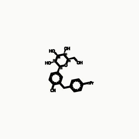 CCCc1ccc(Cc2cc([C@@H]3O[C@H](CO)[C@@H](O)[C@H](O)[C@H]3O)ccc2C#N)cc1